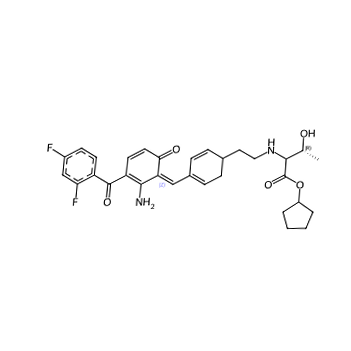 C[C@@H](O)C(NCCC1C=CC(/C=C2\C(=O)C=CC(C(=O)c3ccc(F)cc3F)=C2N)=CC1)C(=O)OC1CCCC1